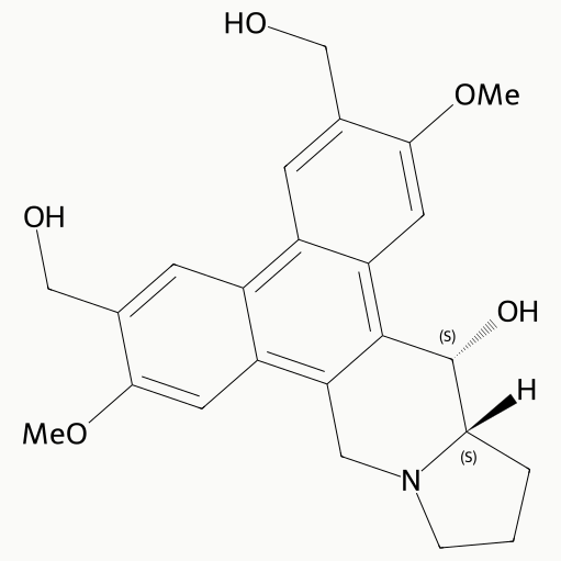 COc1cc2c3c(c4cc(OC)c(CO)cc4c2cc1CO)[C@H](O)[C@@H]1CCCN1C3